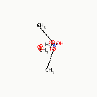 CCCCCCCCCCCCCCCCCC(=O)OCC[N+](CC)(CCO)CCOC(=O)CCCCCCCCCCCCCCCCC.COS(=O)(=O)[O-]